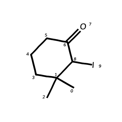 CC1(C)CCCC(=O)C1I